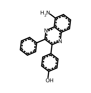 Nc1cccc2nc(-c3ccc(O)cc3)c(-c3ccccc3)nc12